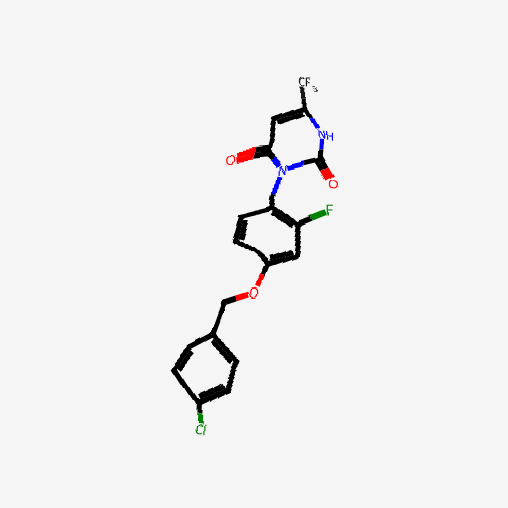 O=c1cc(C(F)(F)F)[nH]c(=O)n1-c1ccc(OCc2ccc(Cl)cc2)cc1F